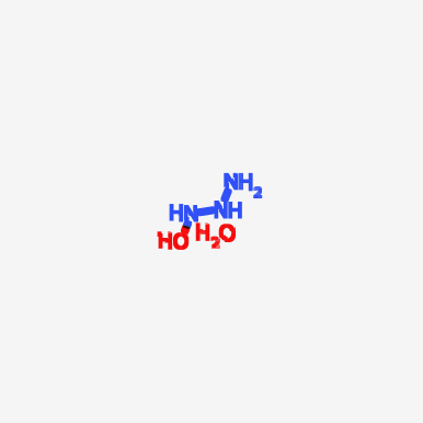 NNNO.O